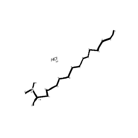 CCCCCCCCCCCCCCC(C)N(C)C.Cl